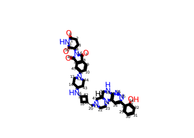 O=C1CCC(N2C(=O)c3ccc(N4CCC(N[C@H]5C[C@@H](CN6CCN7c8cc(-c9ccccc9O)nnc8NC[C@H]7C6)C5)CC4)cc3C2=O)C(=O)N1